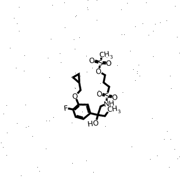 CCC(O)(CNS(=O)(=O)CCCOS(C)(=O)=O)c1ccc(F)c(OCC2CC2)c1